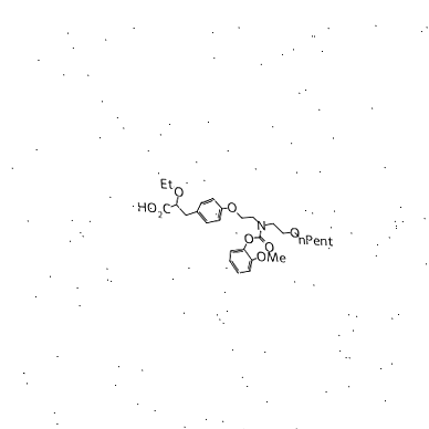 CCCCCOCCN(CCOc1ccc(CC(OCC)C(=O)O)cc1)C(=O)Oc1ccccc1OC